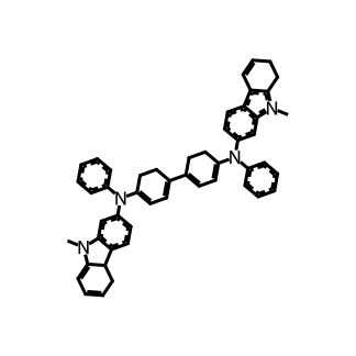 CN1C2=CC=CCC2c2ccc(N(C3=CC=C(C4=CC=C(N(c5ccccc5)c5ccc6c7c(n(C)c6c5)CCC=C7)CC4)CC3)c3ccccc3)cc21